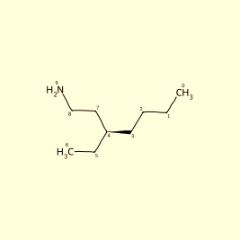 CCCC[C@@H](CC)CCN